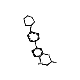 CC1CNc2ccc(-c3ccc(C4CCCCC4)cc3)cc2O1